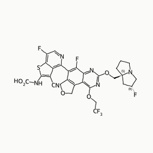 N#Cc1c(NC(=O)O)sc2c(F)cnc(-c3c4c(c5c(OCC(F)(F)F)nc(OC[C@@]67CCCN6C[C@H](F)C7)nc5c3F)COC4)c12